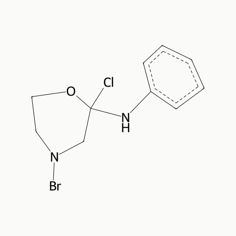 ClC1(Nc2ccccc2)CN(Br)CCO1